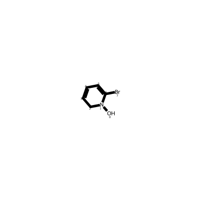 ON1CC=CC=C1Br